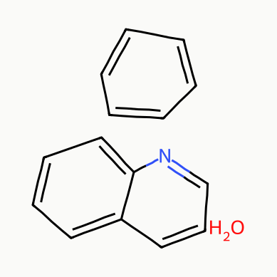 O.c1ccc2ncccc2c1.c1ccccc1